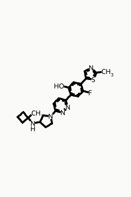 Cc1ncc(-c2cc(O)c(-c3ccc(N4CCC(NC5(C)CCC5)C4)nn3)cc2F)s1